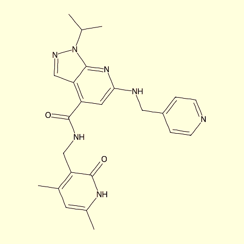 Cc1cc(C)c(CNC(=O)c2cc(NCc3ccncc3)nc3c2cnn3C(C)C)c(=O)[nH]1